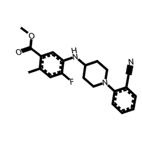 COC(=O)c1cc(NC2CCN(c3ccccc3C#N)CC2)c(F)cc1C